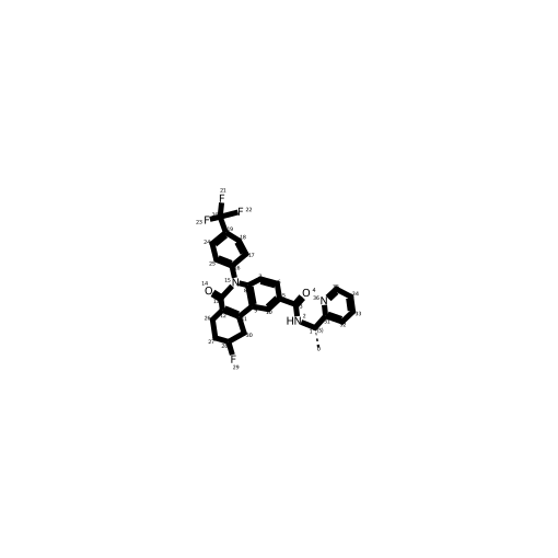 C[C@H](NC(=O)c1ccc2c(c1)c1c(c(=O)n2-c2ccc(C(F)(F)F)cc2)CCC(F)C1)c1ccccn1